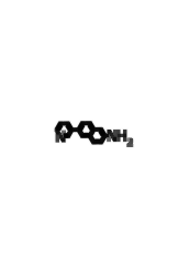 Nc1ccc2cc(-c3cccnc3)ccc2c1